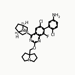 Nc1ccc(Cl)c(-c2c(Cl)cc3c(N4C[C@H]5CC[C@@H](C4)N5)nc(OCC45CCCN4CCC5)nc3c2F)c1